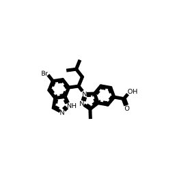 Cc1nn(C(CC(C)C)c2cc(Br)cc3cn[nH]c23)c2ccc(C(=O)O)cc12